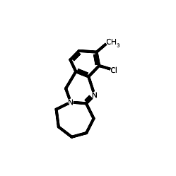 Cc1ccc2c(c1Cl)N=C1CCCCCN1C2